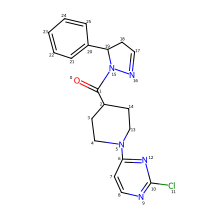 O=C(C1CCN(c2ccnc(Cl)n2)CC1)N1N=CCC1c1ccccc1